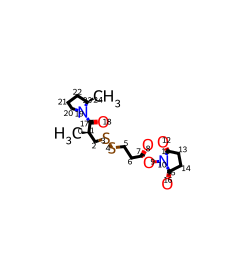 C[C@H](CSSCCC(=O)ON1C(=O)CCC1=O)C(=O)N1CCC[C@H]1C